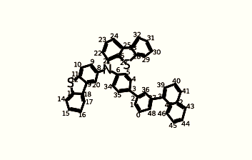 c1cc(-c2ccc(N(c3ccc4sc5ccccc5c4c3)c3cccc4c3sc3ccccc34)cc2)cc(-c2cccc3ccccc23)c1